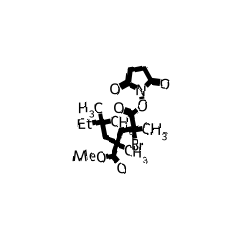 CCC(C)(C)CC(C)(CC(C)(Br)C(=O)ON1C(=O)CCC1=O)C(=O)OC